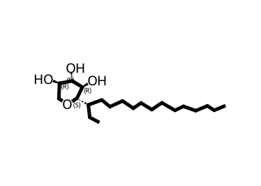 CCCCCCCCCCCCCC(CC)[C@@H]1OC[C@@H](O)[C@H](O)[C@H]1O